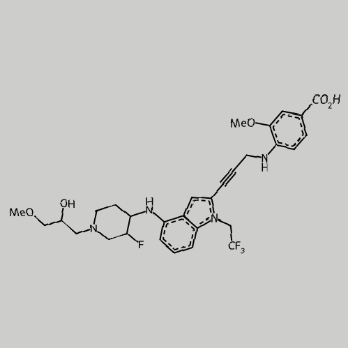 COCC(O)CN1CCC(Nc2cccc3c2cc(C#CCNc2ccc(C(=O)O)cc2OC)n3CC(F)(F)F)C(F)C1